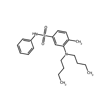 CCCCN(CCCC)c1cc(S(=O)(=O)Nc2ccccc2)ccc1C